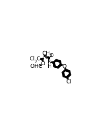 CN(C(=O)Nc1ccc(Oc2ccc(Cl)cc2)cc1)C(OC=O)C(Cl)(Cl)Cl